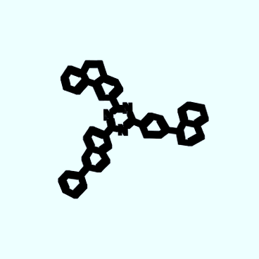 c1ccc(-c2ccc3cc(-c4nc(-c5ccc(-c6cccc7ccccc67)cc5)nc(-c5ccc6ccc7ccccc7c6c5)n4)ccc3c2)cc1